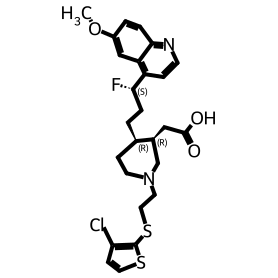 COc1ccc2nccc([C@@H](F)CC[C@@H]3CCN(CCSc4sccc4Cl)C[C@@H]3CC(=O)O)c2c1